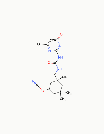 Cc1cc(=O)nc(NC(=O)NCC2(C)CC(OC#N)CC(C)(C)C2)[nH]1